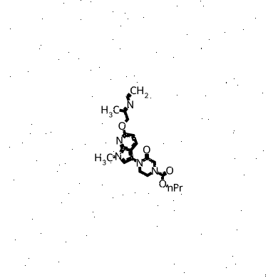 C=C/N=C(\C)COc1ccc2c(N3CCN(C(=O)OCCC)CC3=O)cn(C)c2n1